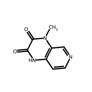 Cn1c(=O)c(=O)[nH]c2ccncc21